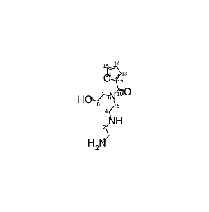 NCCNCCN(CCO)C(=O)c1ccco1